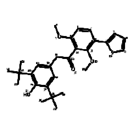 COc1ccc(-c2cccs2)c(OC)c1C(=O)Cc1cc(C(C)(C)C)c(O)c(C(C)(C)C)c1